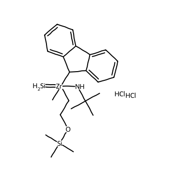 CC(C)(C)[NH][Zr]([CH3])(=[SiH2])([CH2]CO[Si](C)(C)C)[CH]1c2ccccc2-c2ccccc21.Cl.Cl